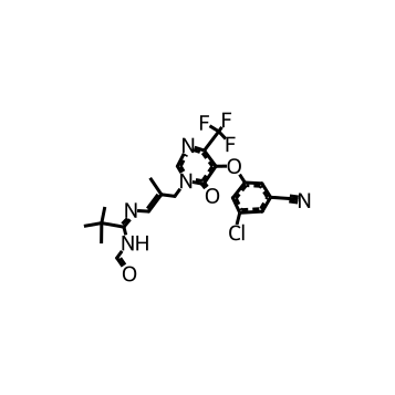 C/C(=C\N=C(/NC=O)C(C)(C)C)Cn1cnc(C(F)(F)F)c(Oc2cc(Cl)cc(C#N)c2)c1=O